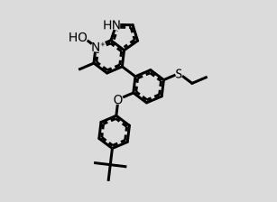 CCSc1ccc(Oc2ccc(C(C)(C)C)cc2)c(-c2cc(C)[n+](O)c3[nH]ccc23)c1